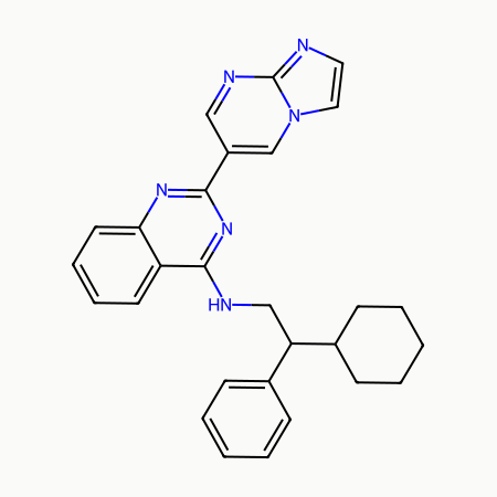 c1ccc(C(CNc2nc(-c3cnc4nccn4c3)nc3ccccc23)C2CCCCC2)cc1